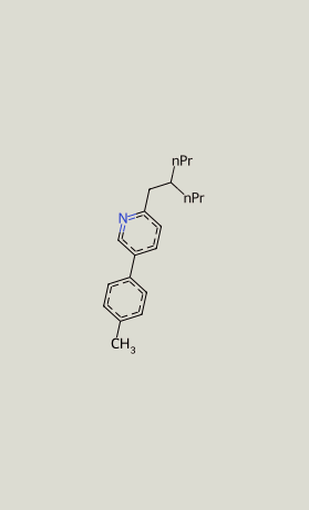 CCCC(CCC)Cc1ccc(-c2ccc(C)cc2)cn1